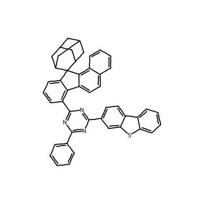 c1ccc(-c2nc(-c3ccc4c(c3)sc3ccccc34)nc(-c3cccc4c3-c3ccc5ccccc5c3C43C4CC5CC(C4)CC3C5)n2)cc1